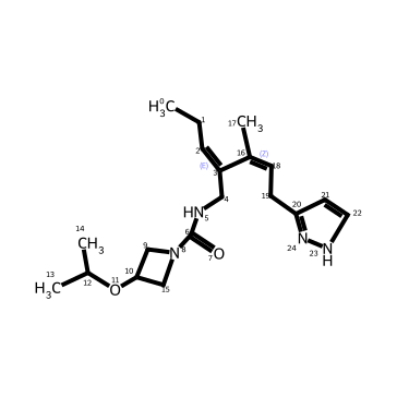 CC/C=C(CNC(=O)N1CC(OC(C)C)C1)\C(C)=C/Cc1cc[nH]n1